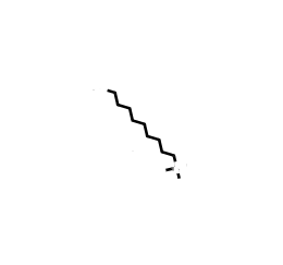 CCCCCCCCCCCCCCCCCCC[N+](C)(C)CCC.[Br-]